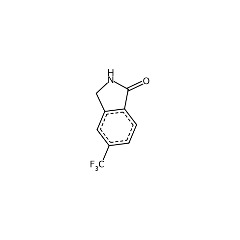 O=C1NCc2cc(C(F)(F)F)ccc21